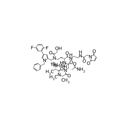 CC(=O)N[C@@H](C)C(=O)N(C)[C@@H](C)C(=O)N[C@@H](CC(N)=O)C(=O)N[C@@H](CCN(C(=O)CO)[C@@H](c1cc(-c2cc(F)ccc2F)cn1Cc1ccccc1)C(C)(C)C)C(=O)NCCNC(=O)CN1C(=O)C=CC1=O